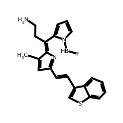 CC1=CC(/C=C/c2csc3ccccc23)=NC/1=C(/CCN)c1cccn1BF